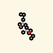 c1ccc(-c2cc3ccc(N(c4ccccc4)c4ccc(-c5cccc6ccccc56)cc4)c(-c4ccccc4)c3cc2N(c2ccccc2)c2ccc(-c3cccc4ccccc34)cc2)cc1